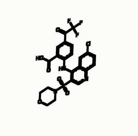 O=C(O)c1cc(C(=O)C(F)(F)F)ccc1Nc1c(S(=O)(=O)N2CCOCC2)cnc2ccc(Cl)cc12